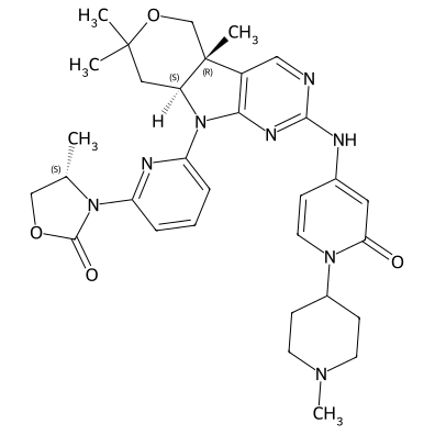 C[C@H]1COC(=O)N1c1cccc(N2c3nc(Nc4ccn(C5CCN(C)CC5)c(=O)c4)ncc3[C@@]3(C)COC(C)(C)C[C@H]23)n1